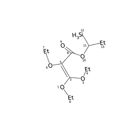 CCOC(OCC)=C(OCC)C(=O)OC([SiH3])CC